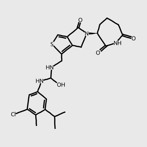 Cc1c(Cl)cc(NC(O)NCc2scc3c2CN([C@H]2CCCC(=O)NC2=O)C3=O)cc1C(C)C